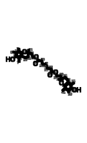 Cc1c(C)c2c(c(C)c1O)CCC(C)(CCOC(=O)CCSCCC(=O)OCCC1(C)CCc3c(C)c(O)c(C)c(C)c3O1)O2